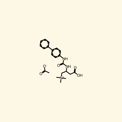 CC(=O)[O-].C[N+](C)(C)CC(CC(=O)O)NC(=O)Nc1ccc(-c2ccccc2)cc1